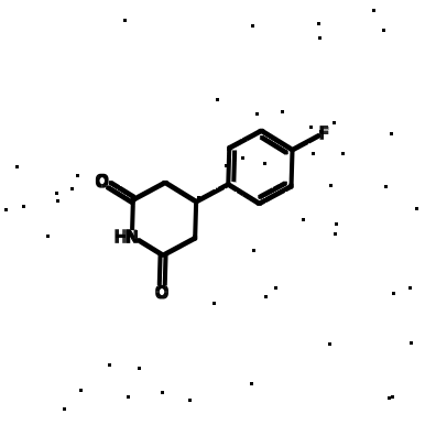 O=C1CC(c2ccc(F)cc2)CC(=O)N1